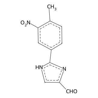 Cc1ccc(-c2nc(C=O)c[nH]2)cc1[N+](=O)[O-]